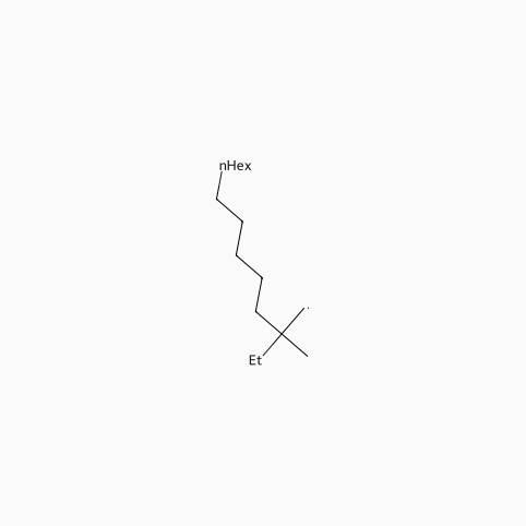 [CH2]C(C)(CC)CCCCCCCCCCC